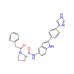 O=C(Nc1ccc2[nH]c(-c3ccc(-c4c[nH]cn4)cc3)cc2c1)[C@@H]1CCCN1C(=O)Cc1ccccc1